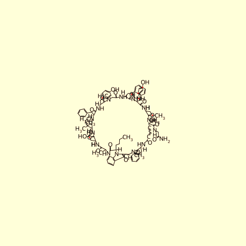 CCCC[C@H]1C(=O)N2c3cccc4c3N1C(=O)[C@H](C4)N(C)C(=O)[C@H](Cc1ccccc1)NC(=O)CSC[C@@H](C(=O)NCC(N)=O)NC(=O)[C@H](CC(C)C)NC(=O)[C@H](Cc1ccc(O)cc1)NC(=O)[C@H](Cc1c[nH]c3ccccc13)NC(=O)CN(C)C(=O)[C@H](Cc1ccc(O)cc1)NC(=O)[C@H](Cc1ccccc1)N(C)C(=O)[C@H](C(C)C)NC(=O)[C@H](CC(=O)O)NC(=O)[C@@H]2C